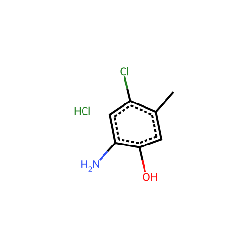 Cc1cc(O)c(N)cc1Cl.Cl